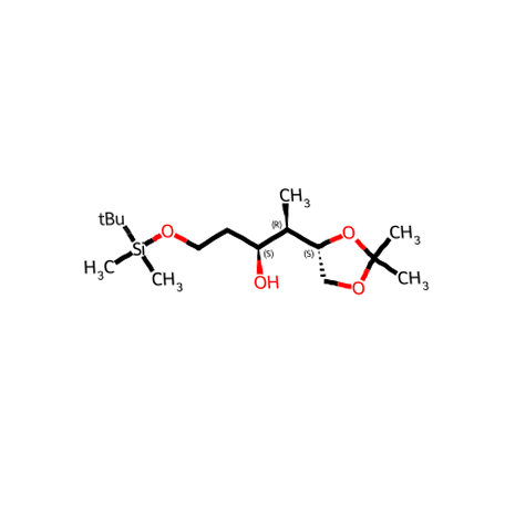 C[C@H]([C@@H](O)CCO[Si](C)(C)C(C)(C)C)[C@H]1COC(C)(C)O1